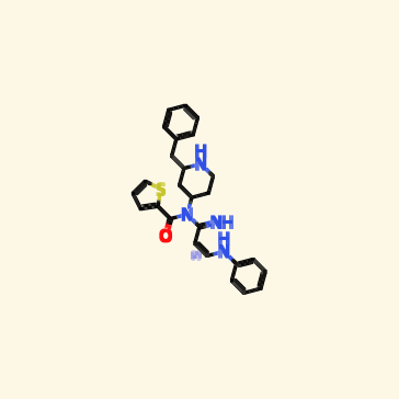 N=C(/C=C\Nc1ccccc1)N(C(=O)c1cccs1)C1CCNC(Cc2ccccc2)C1